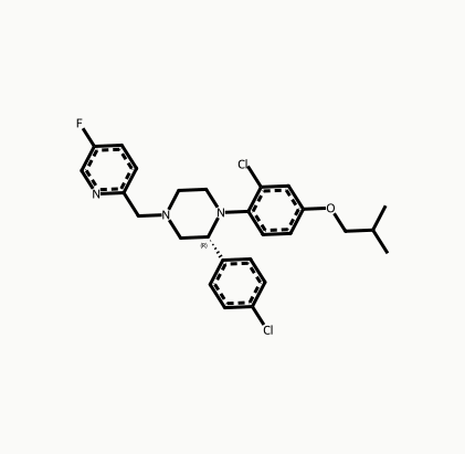 CC(C)COc1ccc(N2CCN(Cc3ccc(F)cn3)C[C@H]2c2ccc(Cl)cc2)c(Cl)c1